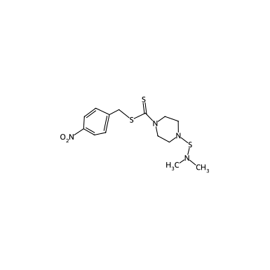 CN(C)SN1CCN(C(=S)SCc2ccc([N+](=O)[O-])cc2)CC1